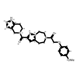 COc1ccc(OCC(=O)N2CCc3cc(C(=O)N4CCc5[nH]nnc5C4)nn3CC2)cc1